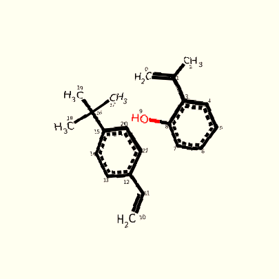 C=C(C)c1ccccc1O.C=Cc1ccc(C(C)(C)C)cc1